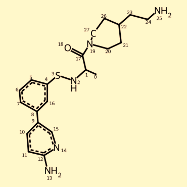 CC(NSc1cccc(-c2ccc(N)nc2)c1)C(=O)N1CCC(CCN)CC1